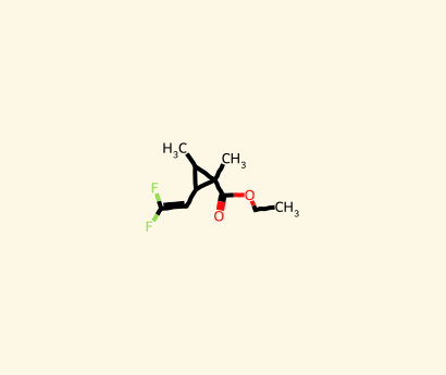 CCOC(=O)C1(C)C(C)C1C=C(F)F